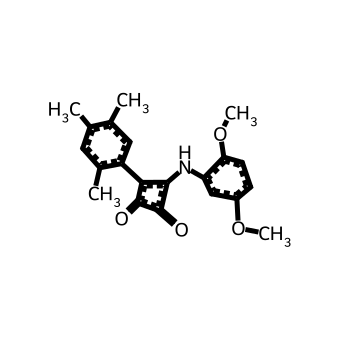 COc1ccc(OC)c(Nc2c(-c3cc(C)c(C)cc3C)c(=O)c2=O)c1